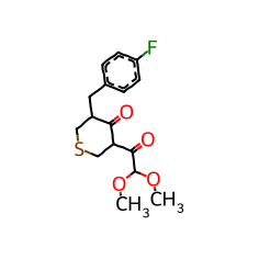 COC(OC)C(=O)C1CSCC(Cc2ccc(F)cc2)C1=O